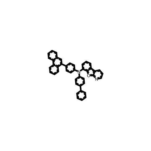 c1ccc(-c2ccc(N(c3ccc(-c4cc5ccccc5c5ccccc45)cc3)c3cccc4c3oc3ncccc34)cc2)cc1